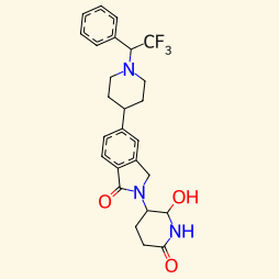 O=C1CCC(N2Cc3cc(C4CCN(C(c5ccccc5)C(F)(F)F)CC4)ccc3C2=O)C(O)N1